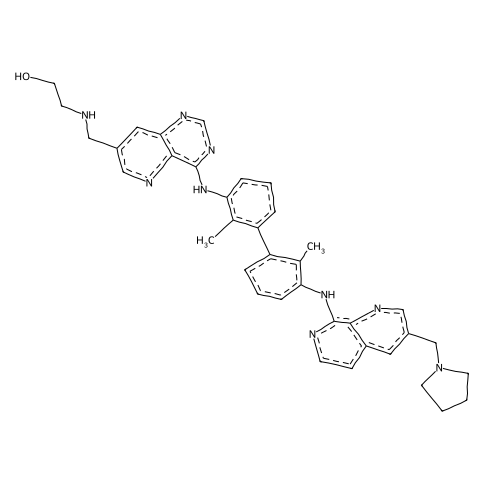 Cc1c(Nc2nccc3cc(CN4CCCC4)cnc23)cccc1-c1cccc(Nc2ncnc3cc(CNCCO)cnc23)c1C